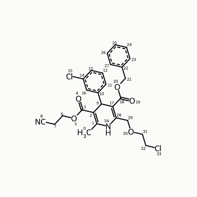 CC1=C(C(=O)OCCC#N)C(c2cccc(Cl)c2)C(C(=O)OCc2ccccc2)=C(COCCCl)N1